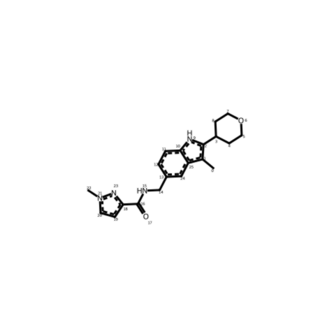 Cc1c(C2CCOCC2)[nH]c2ccc(CNC(=O)c3ccn(C)n3)cc12